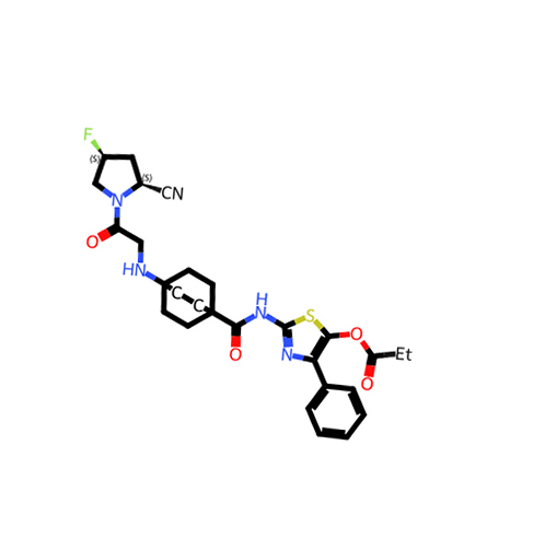 CCC(=O)Oc1sc(NC(=O)C23CCC(NCC(=O)N4C[C@@H](F)C[C@H]4C#N)(CC2)CC3)nc1-c1ccccc1